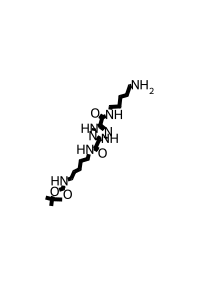 CC(C)(C)OC(=O)NCCCCCNC(=O)C1=NNC(C(=O)NCCCCCN)=NN1